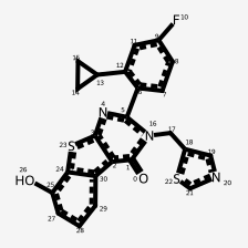 O=c1c2c(nc(-c3ccc(F)cc3C3CC3)n1Cc1cncs1)sc1c(O)cccc12